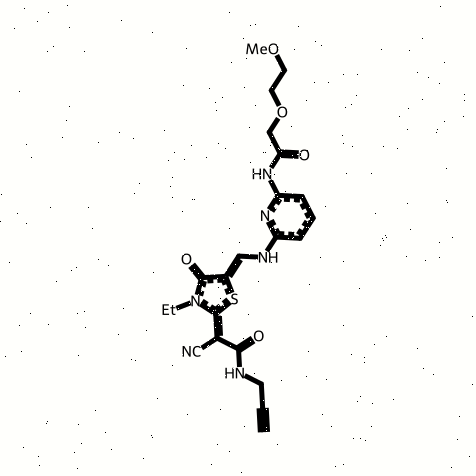 C#CCNC(=O)C(C#N)=c1sc(=CNc2cccc(NC(=O)COCCOC)n2)c(=O)n1CC